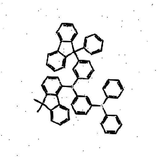 CC1(C)c2ccccc2-c2c(N(c3cccc(N(c4ccccc4)c4ccccc4)c3)c3cccc(C4(c5ccccc5)c5ccccc5-c5ccccc54)c3)cccc21